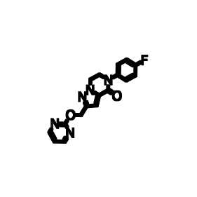 O=C1c2cc(COc3ncccn3)nn2CCN1c1ccc(F)cc1